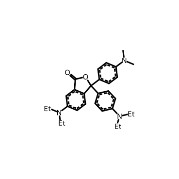 CCN(CC)c1ccc(C2(c3ccc(N(C)C)cc3)OC(=O)c3cc(N(CC)CC)ccc32)cc1